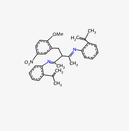 C=C(C)c1ccccc1/N=C(\C)C(Cc1cc([N+](=O)[O-])ccc1OC)/C(C)=N/c1ccccc1C(=C)C